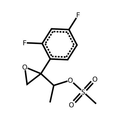 CC(OS(C)(=O)=O)C1(c2ccc(F)cc2F)CO1